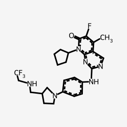 Cc1c(F)c(=O)n(C2CCCC2)c2nc(Nc3ccc(N4CCC(CNCC(F)(F)F)C4)cc3)ncc12